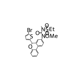 CCS(=O)(=O)N(C)C(=O)N(OC)c1ccc2c(c1)C(c1ccc(Br)s1)Oc1ccccc1-2